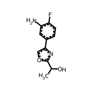 CC(O)c1nc(-c2ccc(F)c(N)c2)co1